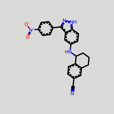 N#Cc1ccc2c(c1)CCCC2Nc1ccc2[nH]nc(-c3ccc([N+](=O)[O-])cc3)c2c1